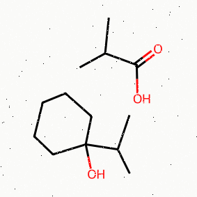 CC(C)C(=O)O.CC(C)C1(O)CCCCC1